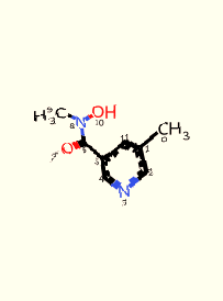 Cc1cncc(C(=O)N(C)O)c1